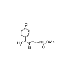 CCN(CCNC(=O)OC)[C@@H](C)c1ccc(Cl)cc1